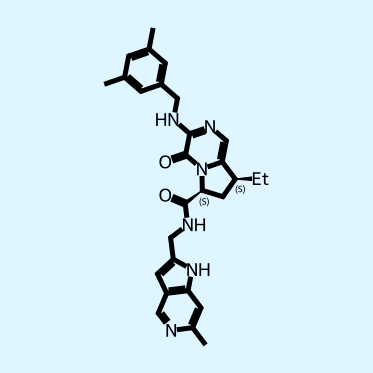 CC[C@H]1C[C@@H](C(=O)NCc2cc3cnc(C)cc3[nH]2)n2c1cnc(NCc1cc(C)cc(C)c1)c2=O